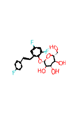 OC[C@H]1O[C@@H](Oc2c(F)cc(F)cc2/C=C/c2ccc(F)cc2)[C@H](O)[C@@H](O)[C@@H]1O